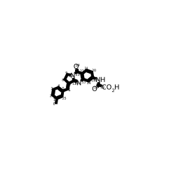 Cc1cccc(C=C2CCn3c2nc2cc(NC(=O)C(=O)O)ccc2c3=O)c1